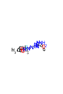 CC(C)(C)OC(=O)N1CC(F)(CN2CC(N3CCC(n4nc(-c5ccc(Oc6ccccc6)cc5)c5c(N)ncnc54)CC3)C2)C1